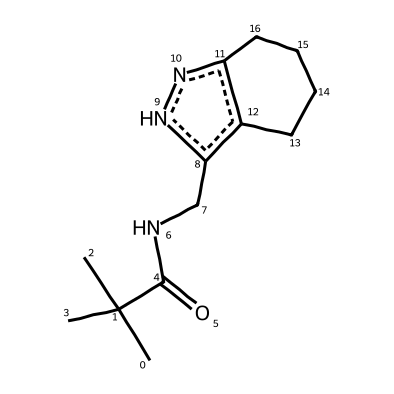 CC(C)(C)C(=O)NCc1[nH]nc2c1CCCC2